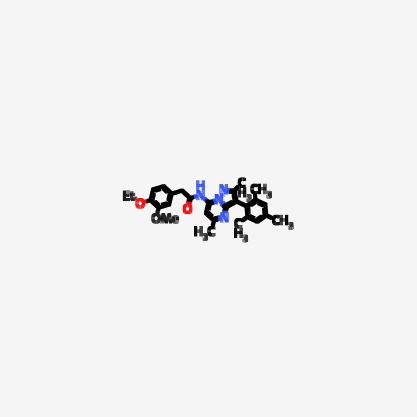 CCOc1ccc(CC(=O)Nc2cc(C)nc3c(-c4c(C)cc(C)cc4C)c(C)nn23)cc1OC